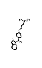 CCCN(CC)CCCCc1ccc(C(=O)c2c(C)cc3ccccn23)cc1